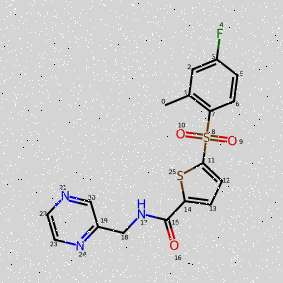 Cc1cc(F)ccc1S(=O)(=O)c1ccc(C(=O)NCc2cnccn2)s1